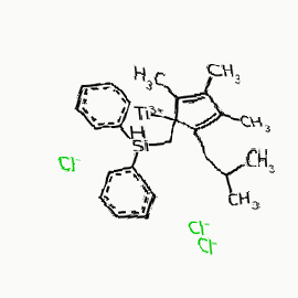 CC1=C(C)[C]([Ti+3])(C[SiH](c2ccccc2)c2ccccc2)C(CC(C)C)=C1C.[Cl-].[Cl-].[Cl-]